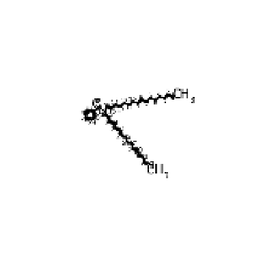 CCCCCCCCCCCCCCCCCN(CCCCCCCCCCCCCCCCC)C(=O)c1cc[c]cc1